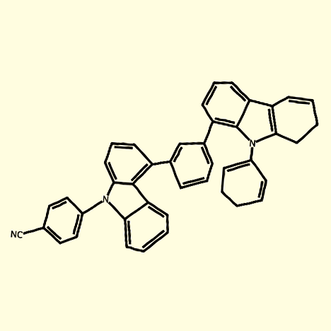 N#Cc1ccc(-n2c3ccccc3c3c(-c4cccc(-c5cccc6c7c(n(C8=CCCC=C8)c56)CCC=C7)c4)cccc32)cc1